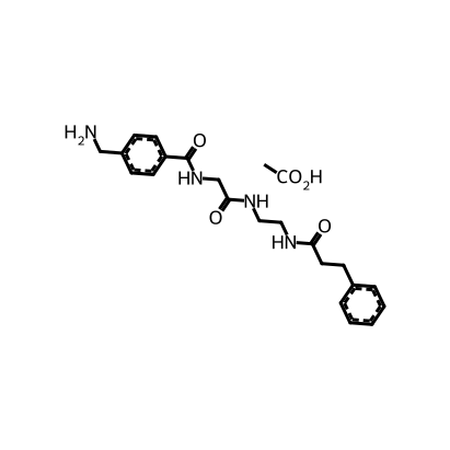 CC(=O)O.NCc1ccc(C(=O)NCC(=O)NCCNC(=O)CCc2ccccc2)cc1